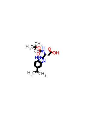 CC(C)c1ccc2[nH]c([C@H](CC(=O)O)NC(=O)OC(C)(C)C)nc2c1